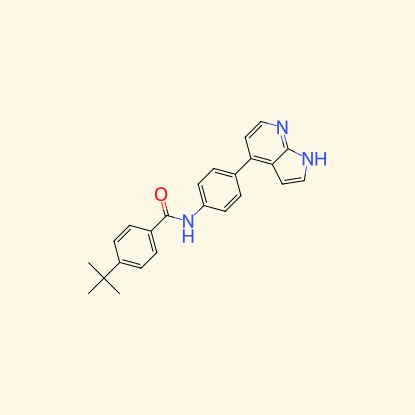 CC(C)(C)c1ccc(C(=O)Nc2ccc(-c3ccnc4[nH]ccc34)cc2)cc1